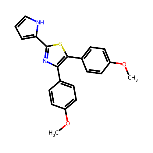 COc1ccc(-c2nc(-c3ccc[nH]3)sc2-c2ccc(OC)cc2)cc1